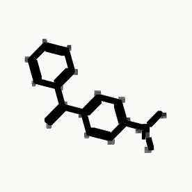 C=C(c1ccccc1)c1ccc([SiH](C)C)cc1